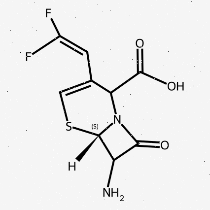 NC1C(=O)N2C(C(=O)O)C(C=C(F)F)=CS[C@@H]12